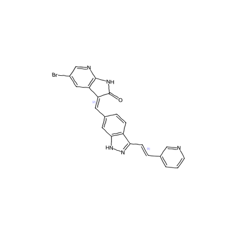 O=C1Nc2ncc(Br)cc2/C1=C/c1ccc2c(/C=C/c3cccnc3)n[nH]c2c1